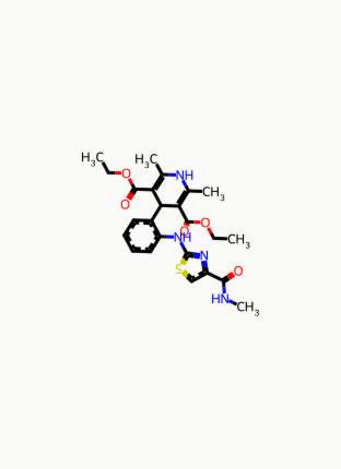 CCOC(=O)C1=C(C)NC(C)=C(C(=O)OCC)C1c1ccccc1Nc1nc(C(=O)NC)cs1